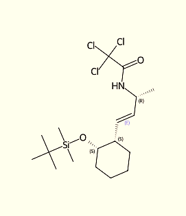 C[C@H](/C=C/[C@@H]1CCCC[C@@H]1O[Si](C)(C)C(C)(C)C)NC(=O)C(Cl)(Cl)Cl